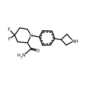 NC(=O)C1CC(F)(F)CCN1c1ccc(C2CNC2)cc1